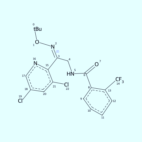 CC(C)(C)O/N=C(/CNC(=O)c1ccccc1C(F)(F)F)c1ncc(Cl)cc1Cl